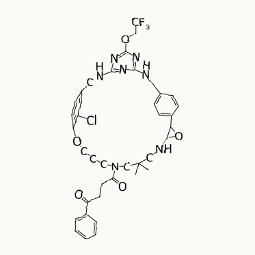 CC1(C)CNC2OC2c2ccc(cc2)Nc2nc(nc(OCC(F)(F)F)n2)NCc2ccc(c(Cl)c2)OCCCN(C(=O)CCC(=O)c2ccccc2)C1